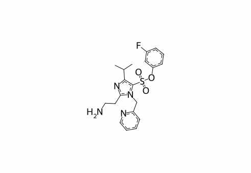 CC(C)c1nc(CCN)n(Cc2ccccn2)c1S(=O)(=O)Oc1cccc(F)c1